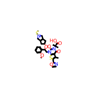 COc1ccccc1C(Cn1c(=O)n(C(C)(C)C(=O)O)c(=O)c2c(C)c(-c3ncco3)sc21)OC1CC2CN(SC)CC2C1